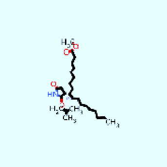 C=C(C)C.CCCCCCCC/C=C\CCCCCCCC(=O)OC.O=C1CCC(=O)N1